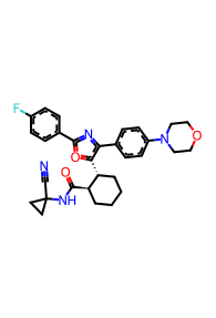 N#CC1(NC(=O)[C@@H]2CCCC[C@H]2c2oc(-c3ccc(F)cc3)nc2-c2ccc(N3CCOCC3)cc2)CC1